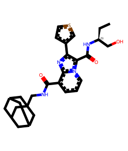 CC[C@@H](CO)NC(=O)c1c(-c2ccsc2)nc2c(C(=O)NCC34CC5CC(CC(C5)C3)C4)cccn12